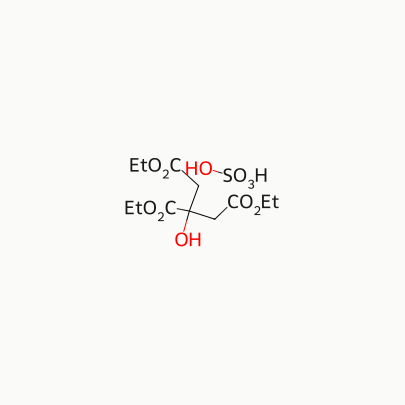 CCOC(=O)CC(O)(CC(=O)OCC)C(=O)OCC.O=S(=O)(O)O